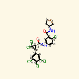 O=C(NC1CCSC1)c1cc(NC(=O)[C@@H]2[C@@H](c3cc(Cl)c(Cl)c(Cl)c3)C2(Cl)Cl)ccc1Cl